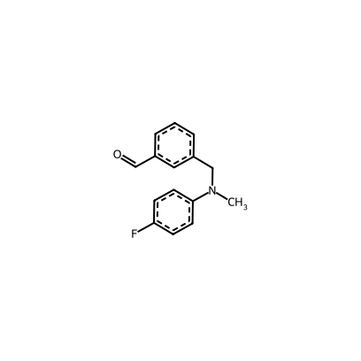 CN(Cc1cccc(C=O)c1)c1ccc(F)cc1